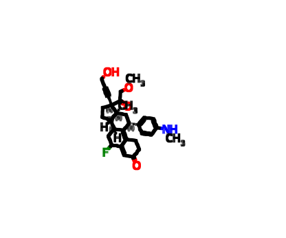 CNc1ccc([C@H]2C[C@@]3(C)[C@@H](CC[C@]3(C#CCO)C(=O)COC)[C@@H]3CC(F)C4=CC(=O)CCC4=C32)cc1